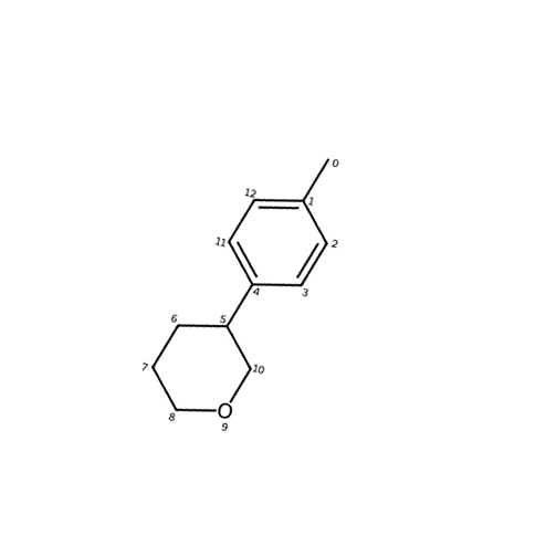 Cc1ccc(C2CCCOC2)cc1